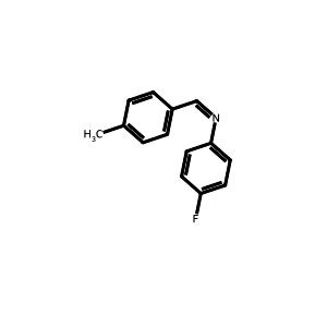 Cc1ccc(/C=N\c2ccc(F)cc2)cc1